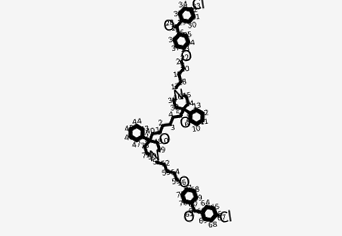 O=C(CCCC(=O)C1(c2ccccc2)CCN(CCCCCOc2ccc(C(=O)c3ccc(Cl)cc3)cc2)CC1)CC1(c2ccccc2)CCN(CCCCCOc2ccc(C(=O)c3ccc(Cl)cc3)cc2)CC1